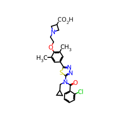 Cc1cc(-c2nnc(N(CC3CC3)C(=O)c3ccccc3Cl)s2)cc(C)c1OCCN1CC(C(=O)O)C1